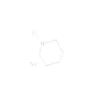 [Na+].[O-]N1CCCCC1